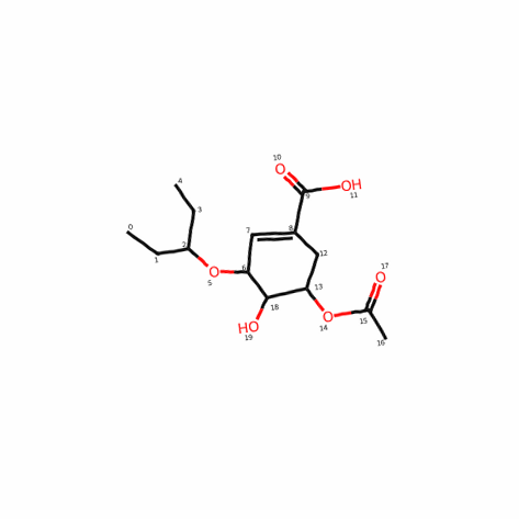 CCC(CC)OC1C=C(C(=O)O)CC(OC(C)=O)C1O